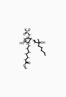 CCCCCC(C)(O)C=C[C@H]1[C@H](CS(C)(=O)=O)C[C@@H](O)[C@@H]1CCCCCCC(=O)OC